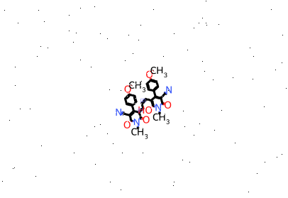 CCN1C(=O)C(C#N)=C(c2ccc(OC)cc2)/C(=C\C=C/c2c(-c3ccc(OC)cc3)c(C#N)c(=O)n(CC)c2O)C1=O